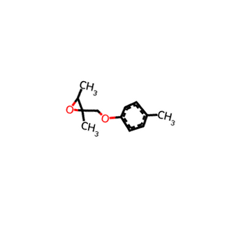 Cc1ccc(OCC2(C)OC2C)cc1